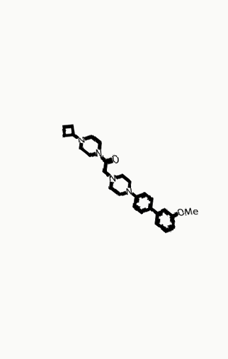 COc1cccc(-c2ccc(N3CCN(CC(=O)N4CCN(C5CCC5)CC4)CC3)cc2)c1